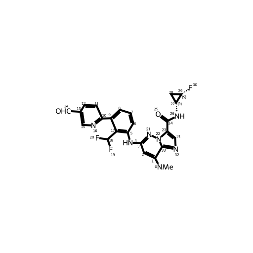 CNc1cc(Nc2cccc(-c3ccc(C=O)cn3)c2C(F)F)nn2c(C(=O)N[C@@H]3C[C@@H]3F)cnc12